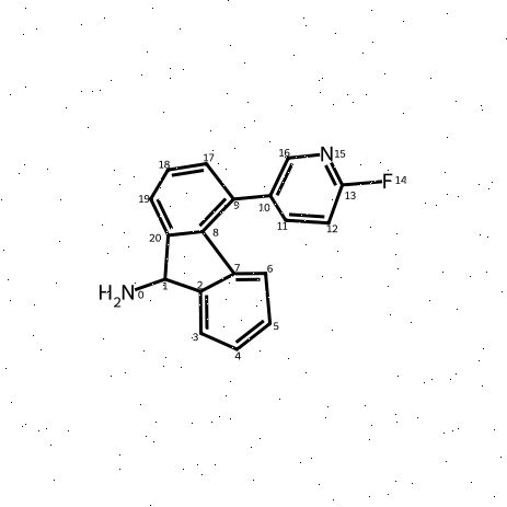 NC1c2ccccc2-c2c(-c3ccc(F)nc3)cccc21